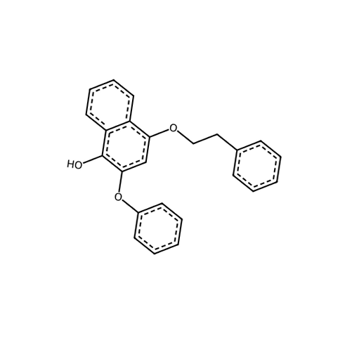 Oc1c(Oc2ccccc2)cc(OCCc2ccccc2)c2ccccc12